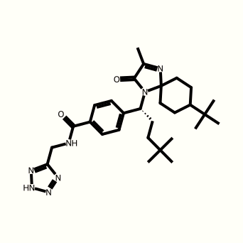 CC1=NC2(CCC(C(C)(C)C)CC2)N([C@H](CCC(C)(C)C)c2ccc(C(=O)NCc3nn[nH]n3)cc2)C1=O